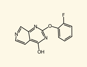 Oc1nc(Oc2ccccc2F)nc2cnccc12